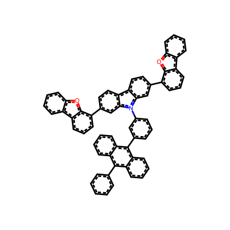 c1ccc(-c2c3ccccc3c(-c3cccc(-n4c5cc(-c6cccc7c6oc6ccccc67)ccc5c5ccc(-c6cccc7c6oc6ccccc67)cc54)c3)c3ccccc23)cc1